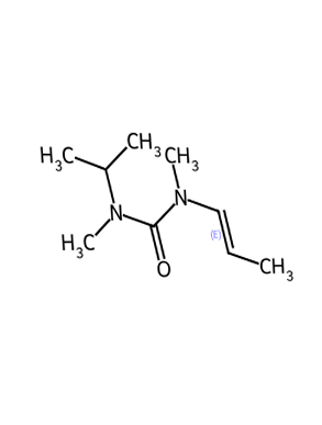 C/C=C/N(C)C(=O)N(C)C(C)C